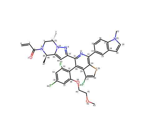 C=CC(=O)N1C[C@H](C)n2nc(-c3nc(-c4ccc5c(ccn5C)c4)c4scc(F)c4c3-c3c(F)cc(F)cc3OCCOC)cc2[C@H]1C